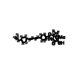 COC(C)(C(F)F)C(NC(=O)c1ccc(C#CC#Cc2ccc(CN(C)C)cc2)cc1)C(=O)NO